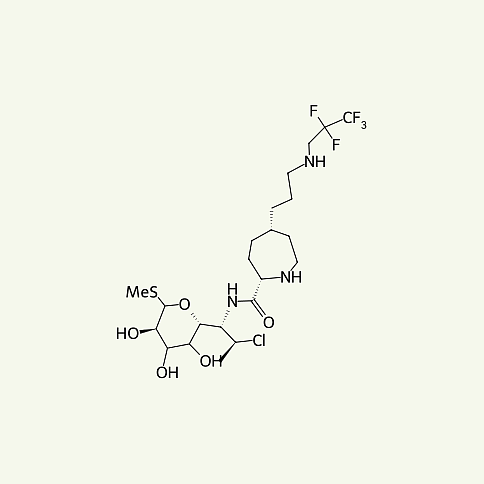 CSC1O[C@H]([C@H](NC(=O)[C@@H]2CC[C@H](CCCNCC(F)(F)C(F)(F)F)CCN2)[C@H](C)Cl)C(O)C(O)[C@H]1O